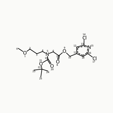 COCCCN(CC(=O)OCc1cc(Cl)nc(Cl)c1)C(=O)OC(C)(C)C